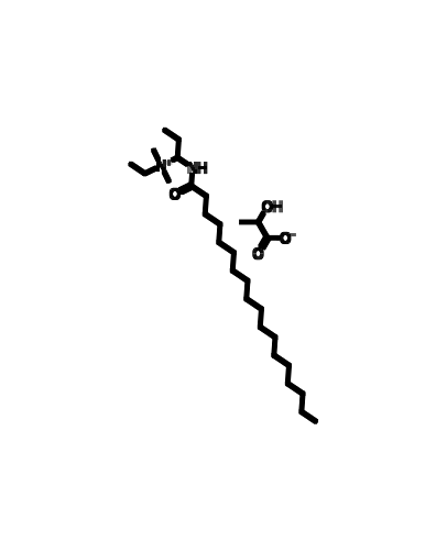 CC(O)C(=O)[O-].CCCCCCCCCCCCCCCCCC(=O)NC(CC)[N+](C)(C)CC